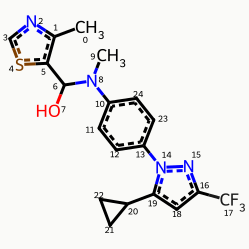 Cc1ncsc1C(O)N(C)c1ccc(-n2nc(C(F)(F)F)cc2C2CC2)cc1